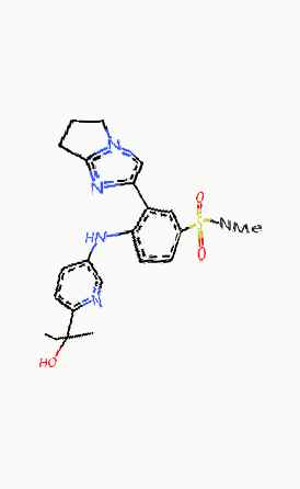 CNS(=O)(=O)c1ccc(Nc2ccc(C(C)(C)O)nc2)c(-c2cn3c(n2)CCC3)c1